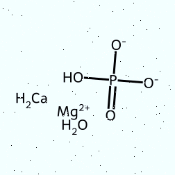 O.O=P([O-])([O-])O.[CaH2].[Mg+2]